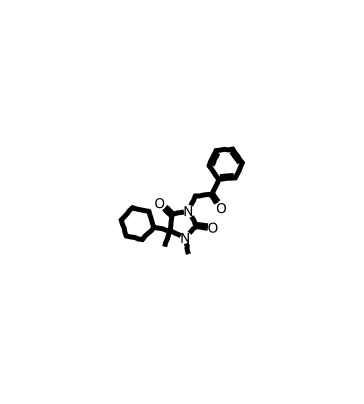 CN1C(=O)N(CC(=O)c2ccccc2)C(=O)C1(C)C1CCCCC1